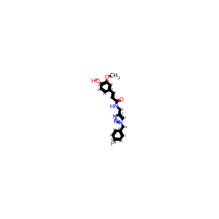 COc1cc(/C=C/C(=O)NCc2cn(Cc3ccc(F)cc3)nn2)ccc1O